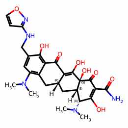 CN(C)c1cc(CNc2ccon2)c(O)c2c1C[C@H]1C[C@H]3[C@@H](N(C)C)C(O)=C(C(N)=O)C(=O)[C@@]3(O)C(O)=C1C2=O